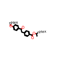 CCCCCCOc1ccc(C(=O)Cc2ccc(C(=O)OC(C)CCCCCC)cc2)cc1